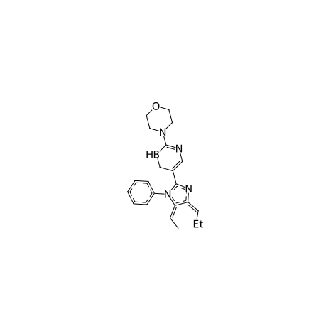 C/C=c1\c(=C/CC)nc(C2=CN=C(N3CCOCC3)BC2)n1-c1ccccc1